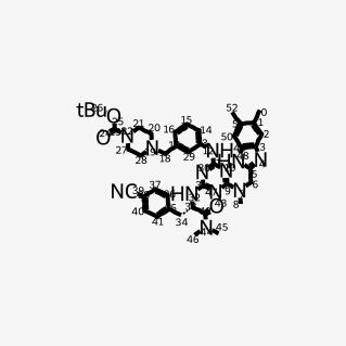 Cc1cc2nc(CN(C)c3nc(Nc4cccc(CN5CCN(C(=O)OC(C)(C)C)CC5)c4)nc(N[C@@H](Cc4ccc(C#N)cc4)C(=O)N(C)C)n3)[nH]c2cc1C